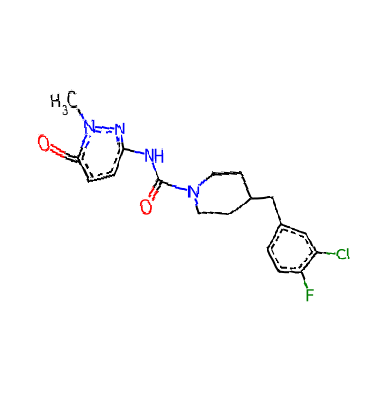 Cn1nc(NC(=O)N2CCC(Cc3ccc(F)c(Cl)c3)CC2)ccc1=O